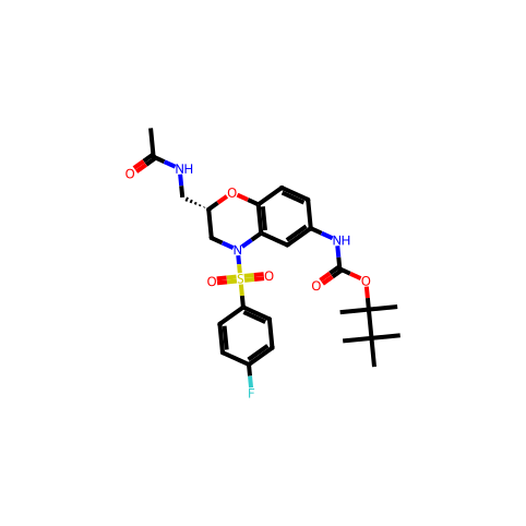 CC(=O)NC[C@H]1CN(S(=O)(=O)c2ccc(F)cc2)c2cc(NC(=O)OC(C)(C)C(C)(C)C)ccc2O1